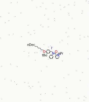 CCCCCCCCCCCCCCCCOc1ccc(CN(C(=O)c2cccc[n+]2CCC)c2ccccc2)cc1C(C)(C)C.[I-]